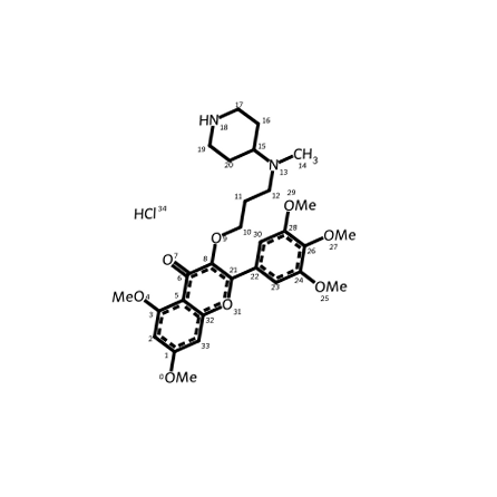 COc1cc(OC)c2c(=O)c(OCCCN(C)C3CCNCC3)c(-c3cc(OC)c(OC)c(OC)c3)oc2c1.Cl